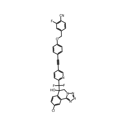 N#Cc1ccc(COc2ccc(C#Cc3ccc(C(F)(F)C4(O)Cn5nnnc5-c5cc(Cl)ccc54)nc3)cc2)cc1F